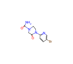 NC(=O)N1CCN(c2ccc(Br)cn2)C(=O)C1